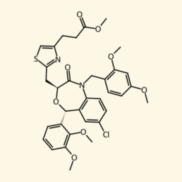 COC(=O)CCc1csc(C[C@@H]2O[C@@H](c3cccc(OC)c3OC)c3cc(Cl)ccc3N(Cc3ccc(OC)cc3OC)C2=O)n1